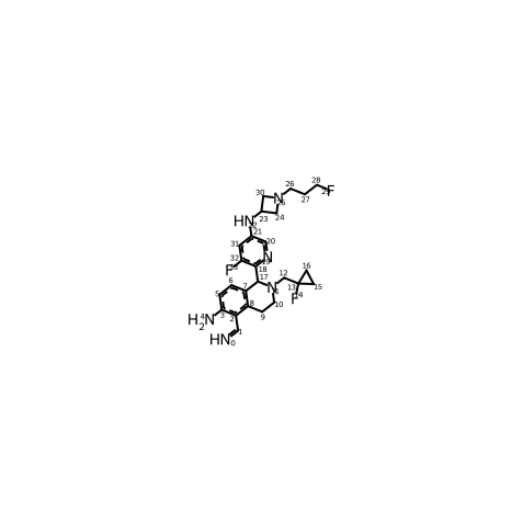 N=Cc1c(N)ccc2c1CCN(CC1(F)CC1)C2c1ncc(NC2CN(CCCF)C2)cc1F